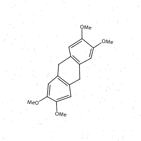 COc1cc2c(cc1OC)Cc1cc(OC)c(OC)cc1C2